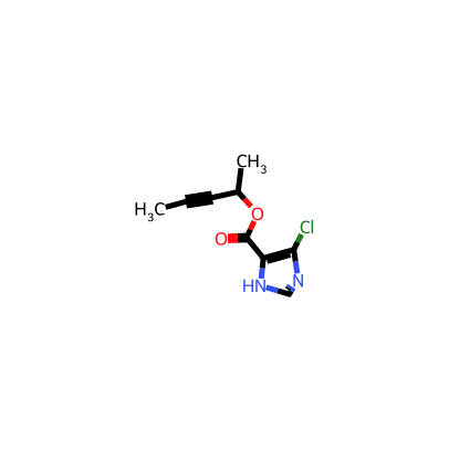 CC#CC(C)OC(=O)c1[nH]cnc1Cl